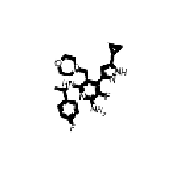 CC(Nc1nc(N)c(F)c(-c2cc(C3CC3)[nH]n2)c1CN1CCOCC1)c1ccc(F)cc1